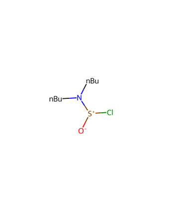 CCCCN(CCCC)[S+]([O-])Cl